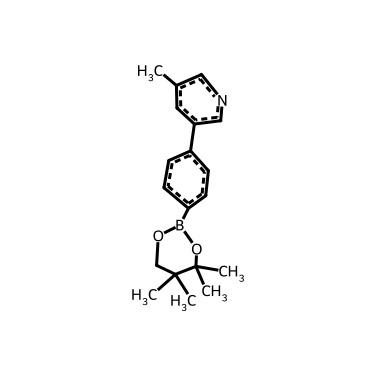 Cc1cncc(-c2ccc(B3OCC(C)(C)C(C)(C)O3)cc2)c1